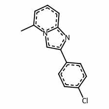 Cc1cccc2nc(-c3ccc(Cl)cc3)cn12